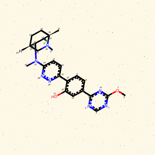 COc1ncnc(-c2ccc(-c3ccc(N(C)C4C(F)[C@]5(C)CC[C@H]4CN5C)nn3)c(O)c2)n1